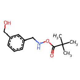 CC(C)(C)C(=O)ONCc1cccc(CO)c1